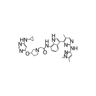 Cc1cnc(Nc2cc(C)n(C)n2)nc1-c1c[nH]c2c(NC(=O)CN3CCC(Oc4cc(NC5CC5)ncn4)C3)cccc12